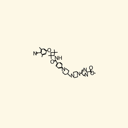 COC(=O)c1ncc(N2CCN(CC3CCN(c4ccc(C(=O)N[C@H]5C(C)(C)[C@H](Oc6cc(C)c(C#N)c(C)c6)C5(C)C)cc4)CC3)CC2)cn1